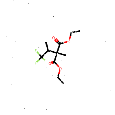 CCOC(=O)C(C)(C(=O)OCC)C(C)C(F)(F)F